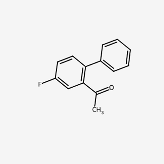 CC(=O)c1cc(F)ccc1-c1ccccc1